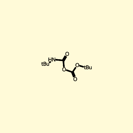 CC(C)(C)NC(=O)OC(=O)OC(C)(C)C